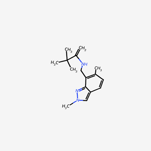 C=C(NCc1c(C)ccc2cn(C)nc12)C(C)(C)C